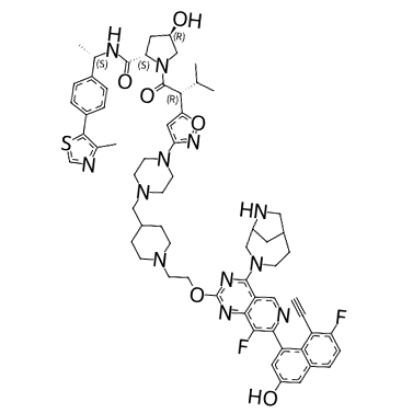 C#Cc1c(F)ccc2cc(O)cc(-c3ncc4c(N5CCC6CNC(C6)C5)nc(OCCN5CCC(CN6CCN(c7cc([C@H](C(=O)N8C[C@H](O)C[C@H]8C(=O)N[C@@H](C)c8ccc(-c9scnc9C)cc8)C(C)C)on7)CC6)CC5)nc4c3F)c12